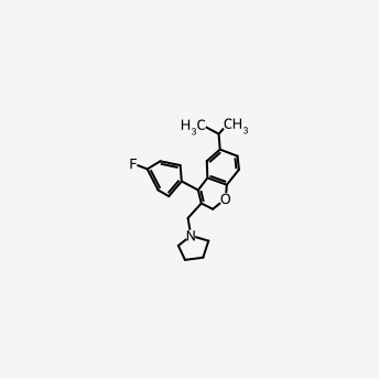 CC(C)c1ccc2c(c1)C(c1ccc(F)cc1)=C(CN1CCCC1)CO2